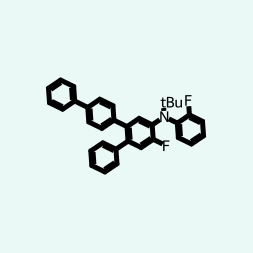 CC(C)(C)N(c1ccccc1F)c1cc(-c2ccc(-c3ccccc3)cc2)c(-c2ccccc2)cc1F